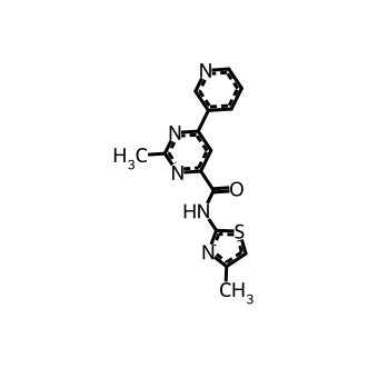 Cc1csc(NC(=O)c2cc(-c3cccnc3)nc(C)n2)n1